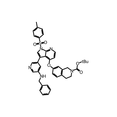 Cc1ccc(S(=O)(=O)n2cc(-c3cncc(NCc4ccccc4)c3)c3c(Oc4ccc5c(c4)CN(C(=O)OC(C)(C)C)CC5)ccnc32)cc1